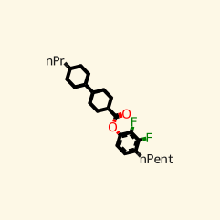 CCCCCc1ccc(OC(=O)C2CCC(C3CCC(CCC)CC3)CC2)c(F)c1F